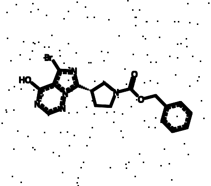 O=C(OCc1ccccc1)N1CC[C@H](c2nc(Br)c3c(O)ncnn23)C1